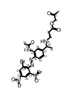 CC(=O)COC(=O)CCNC(C)c1ccc(N=Nc2c(Br)cc([N+](=O)[O-])cc2[N+](=O)[O-])c(NC(C)=O)c1